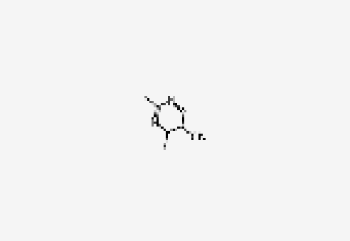 CC1N=C(I)N=CC1C#N